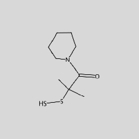 CC(C)(SS)C(=O)N1CCCCC1